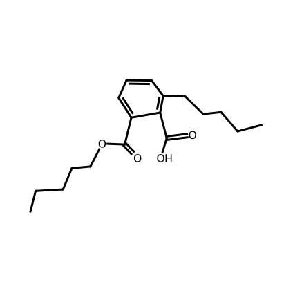 CCCCCOC(=O)c1cccc(CCCCC)c1C(=O)O